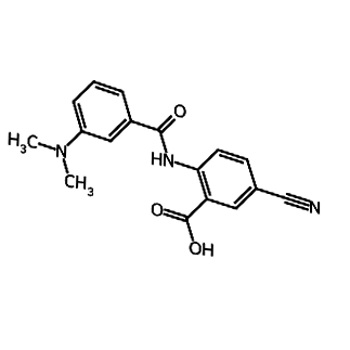 CN(C)c1cccc(C(=O)Nc2ccc(C#N)cc2C(=O)O)c1